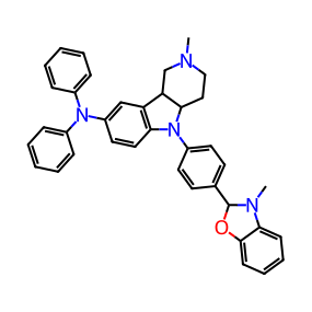 CN1CCC2C(C1)c1cc(N(c3ccccc3)c3ccccc3)ccc1N2c1ccc(C2Oc3ccccc3N2C)cc1